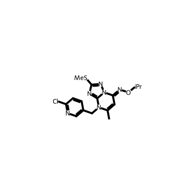 CSc1nc2n(Cc3ccc(Cl)nc3)c(C)c/c(=N\OC(C)C)n2n1